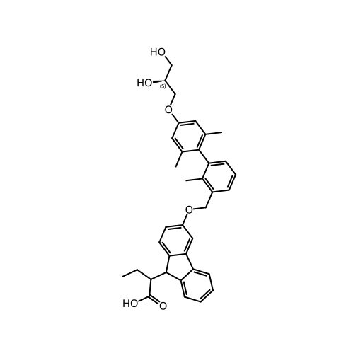 CCC(C(=O)O)C1c2ccccc2-c2cc(OCc3cccc(-c4c(C)cc(OC[C@@H](O)CO)cc4C)c3C)ccc21